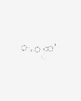 O=C(O)c1ccc2c(c1)nc(-c1ccc(C(=O)Nc3ccncc3)cc1)n2C1CCCC1